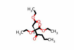 CCCC(=O)[C@](CC(=O)OCC)(OCC)C(=O)OCC